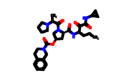 CCCC(NC(=O)[C@@H]1C[C@@H](OC(=O)N2CCc3ccccc3C2)CN1C(=O)C(C)N1CCCC1)C(=O)C(=O)NC1CC1